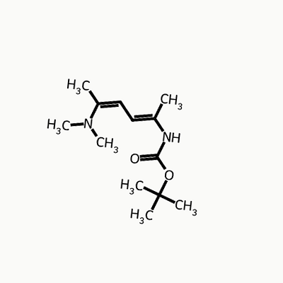 C/C(=C/C=C(\C)NC(=O)OC(C)(C)C)N(C)C